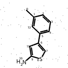 [CH2]c1cccc(-c2csc(N)c2)c1